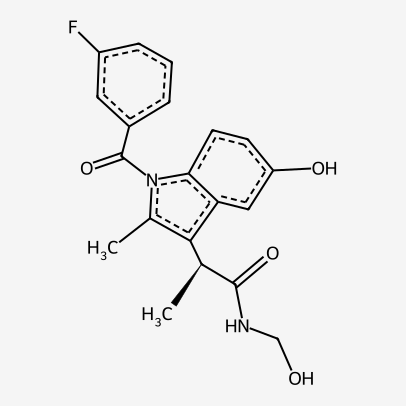 Cc1c([C@H](C)C(=O)NCO)c2cc(O)ccc2n1C(=O)c1cccc(F)c1